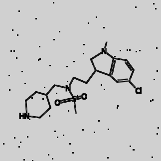 CN1CC(CCN(CC2CCNCC2)S(C)(=O)=O)c2cc(Cl)ccc21